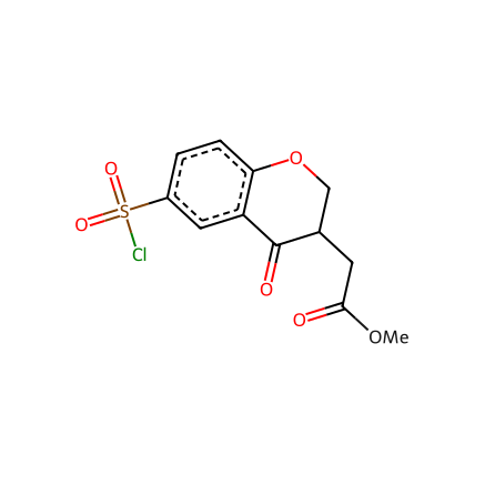 COC(=O)CC1COc2ccc(S(=O)(=O)Cl)cc2C1=O